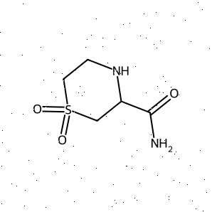 NC(=O)C1CS(=O)(=O)CCN1